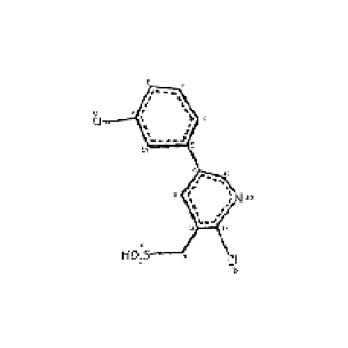 O=S(=O)(O)Cc1cc(-c2cccc(Cl)c2)cnc1Cl